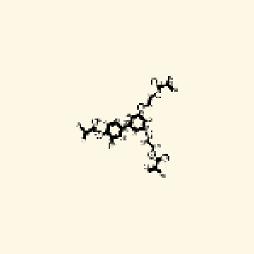 C=C(C)C(=O)OCCOc1cc(OCCOC(=O)C(=C)C)cc(-c2ccc(OC(=O)C(=C)C)c(F)c2)c1